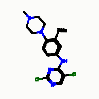 COc1cc(Nc2nc(Cl)ncc2Cl)ccc1N1CCN(C)CC1